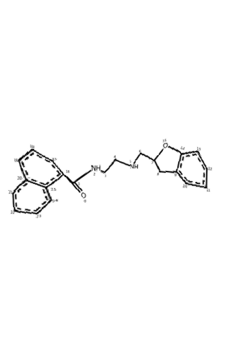 O=C(NCCNCC1Cc2ccccc2O1)c1cccc2ccccc12